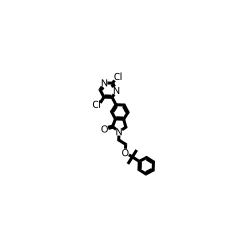 CC(C)(OCCN1Cc2ccc(-c3nc(Cl)ncc3Cl)cc2C1=O)c1ccccc1